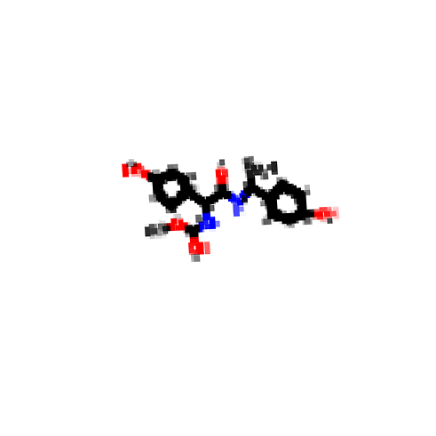 CC(C)(C)OC(O)NC(C(=O)NC(C(=O)O)c1ccc(O)cc1)c1ccc(O)cc1